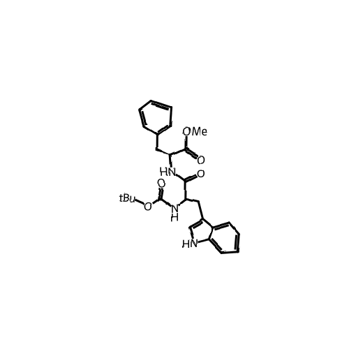 COC(=O)[C@H](Cc1ccccc1)NC(=O)C(Cc1c[nH]c2ccccc12)NC(=O)OC(C)(C)C